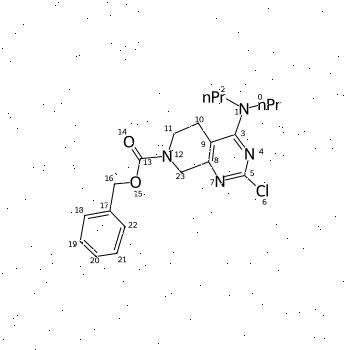 CCCN(CCC)c1nc(Cl)nc2c1CCN(C(=O)OCc1ccccc1)C2